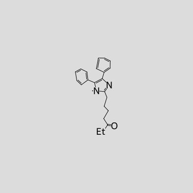 CCC(=O)CCCCC1=NC(c2ccccc2)=C(c2ccccc2)[N]1